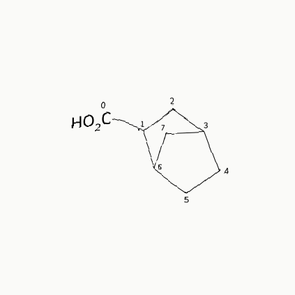 O=C(O)[C]1CC2CCC1C2